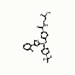 O=C(O)CCNC(=O)c1ccc(CN(c2ccc(C(F)(F)F)cc2)c2nc(-c3ccccc3F)cs2)cc1